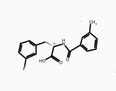 Cc1cccc(C(=O)N[C@@H](Cc2cccc(F)c2)C(=O)O)c1